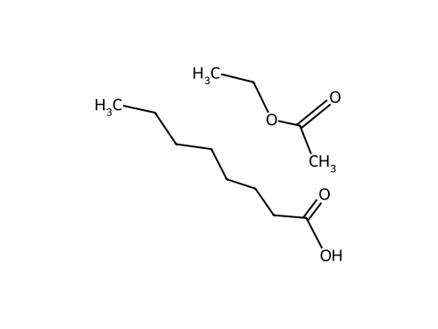 CCCCCCCC(=O)O.CCOC(C)=O